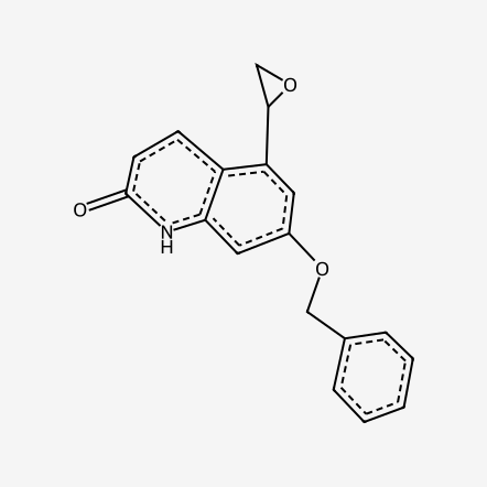 O=c1ccc2c(C3CO3)cc(OCc3ccccc3)cc2[nH]1